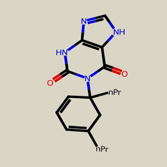 CCCC1=CC=CC(CCC)(n2c(=O)[nH]c3nc[nH]c3c2=O)C1